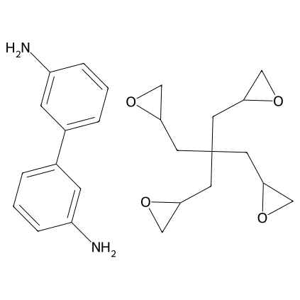 C1OC1CC(CC1CO1)(CC1CO1)CC1CO1.Nc1cccc(-c2cccc(N)c2)c1